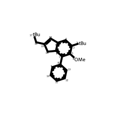 COc1c(C(C)(C)C)cc2c(c1-c1ccccc1)CC(CC(C)(C)C)=C2